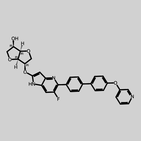 O[C@@H]1CO[C@H]2[C@@H]1OC[C@H]2Oc1cc2nc(-c3ccc(-c4ccc(Oc5cccnc5)cc4)cc3)c(F)cc2[nH]1